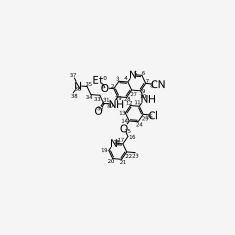 CCOc1cc2ncc(C#N)c(Nc3ccc(OCc4ncccc4C)cc3Cl)c2cc1NC(=O)CCCN(C)C